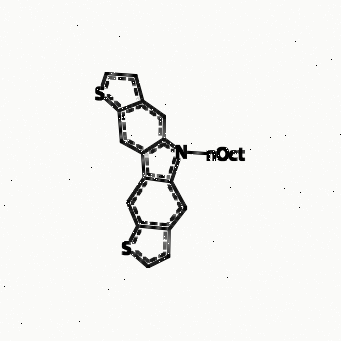 CCCCCCCCn1c2cc3ccsc3cc2c2cc3sccc3cc21